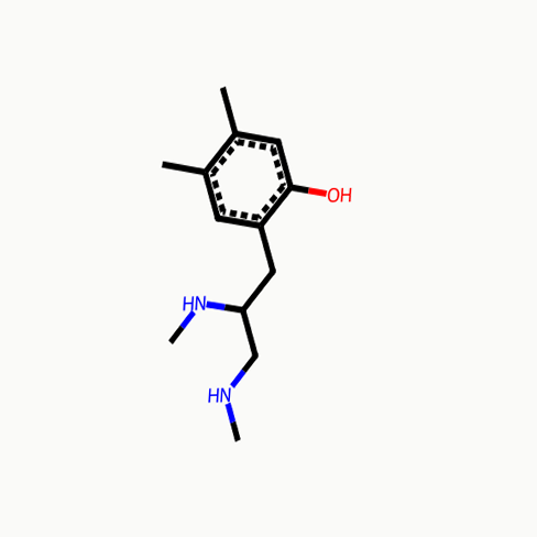 CNCC(Cc1cc(C)c(C)cc1O)NC